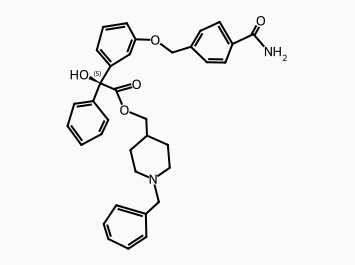 NC(=O)c1ccc(COc2cccc([C@](O)(C(=O)OCC3CCN(Cc4ccccc4)CC3)c3ccccc3)c2)cc1